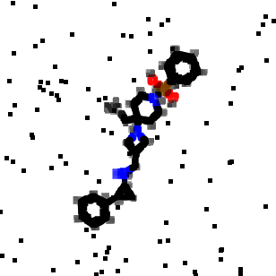 N#CCC1(N2CC(CN[C@@H]3C[C@H]3c3ccccc3)C2)CCN(S(=O)(=O)c2ccccc2)CC1